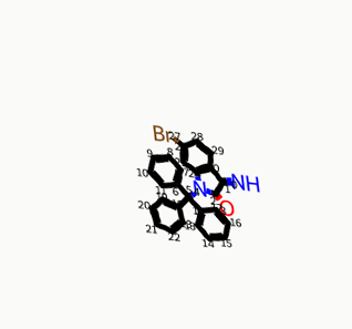 N=C1C(=O)N(C(c2ccccc2)(c2ccccc2)c2ccccc2)c2cc(Br)ccc21